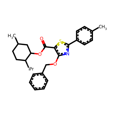 Cc1ccc(-c2nc(OCc3ccccc3)c(C(=O)OC3CC(C)CCC3C(C)C)s2)cc1